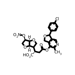 Cc1ncc2c(c1OC(=O)C[C@H](C(=O)O)C1CO[C@H]3[C@@H]1OC[C@H]3O[N+](=O)[O-])COC2c1ccc(Cl)cc1